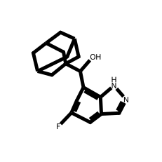 OC(c1cc(F)cc2cn[nH]c12)C12CC3CC(CC(C3)C1)C2